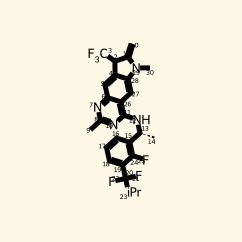 C=C1C(C(F)(F)F)c2cc3nc(C)nc(N[C@H](C)c4cccc(C(F)(F)C(C)C)c4F)c3cc2N1C